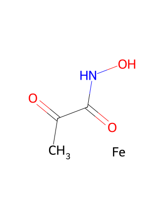 CC(=O)C(=O)NO.[Fe]